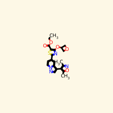 CCOC(=O)c1sc(-c2ccn3ncc(-c4c(C)noc4C)c3c2)nc1OC1COC1